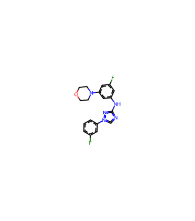 Fc1cc(Nc2ncn(-c3cccc(F)c3)n2)cc(N2CCOCC2)c1